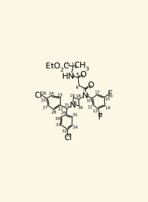 CCOC(=O)C(C)NC(=O)CC(=O)N(c1cc(F)cc(F)c1)C1CN(C(c2ccc(Cl)cc2)c2ccc(Cl)cc2)C1